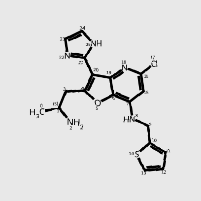 C[C@H](N)Cc1oc2c(NCc3cccs3)cc(Cl)nc2c1-c1ncc[nH]1